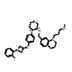 COCCCN1CCCc2ccc(CO[C@H]3CNCC[C@@H]3c3ccc(OC4CN(c5ccccc5F)C4)cc3)cc21